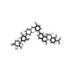 Cc1nc(N[C@H](C)c2cccc(C(F)F)c2F)c2cc(-c3ccc(F)c(CN4CCC(c5c(F)cc([C@@]6(C)CCC(=O)NC6=O)cc5F)CC4)c3)ncc2n1